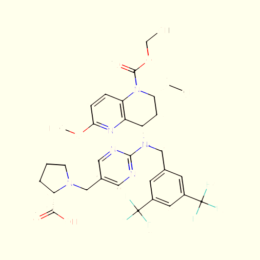 CCOC(=O)N1c2ccc(OC)nc2[C@@H](N(Cc2cc(C(F)(F)F)cc(C(F)(F)F)c2)c2ncc(CN3CCC[C@H]3C(=O)O)cn2)C[C@H]1CC